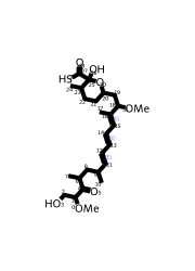 COC(CO)C(=O)C(C)CC(C)/C=C/C=C/C=C(\C)C(CC1CCC(C)C(O)(C(=O)S)O1)OC